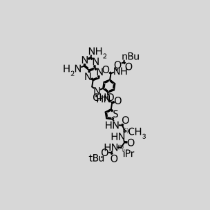 CCCCC(=O)ONC(=O)c1ccc(NC(=O)c2ccc(NC(=O)[C@H](C)NC(=O)[C@@H](NC(=O)OC(C)(C)C)C(C)C)s2)c(N(C=O)Cc2cnc3nc(N)nc(N)c3n2)c1